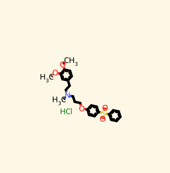 COc1ccc(CCN(C)CCCOc2ccc(S(=O)(=O)c3ccccc3)cc2)cc1OC.Cl